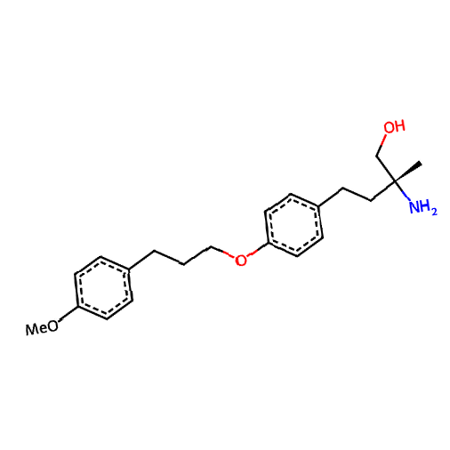 COc1ccc(CCCOc2ccc(CC[C@@](C)(N)CO)cc2)cc1